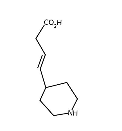 O=C(O)CC=CC1CCNCC1